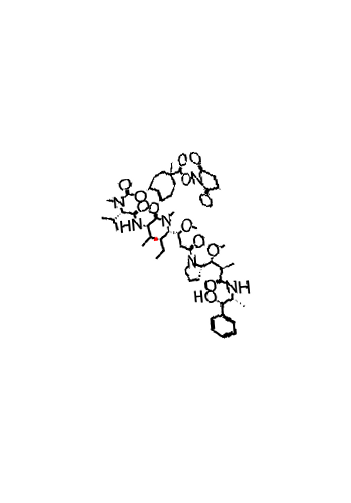 CC[C@H](C)[C@@H](C(CC(=O)N1CCC[C@H]1[C@H](OC)[C@@H](C)C(=O)N[C@H](C)[C@@H](O)c1ccccc1)OC)N(C)C(=O)[C@@H](NC(=O)[C@H](C(C)C)N(C)C(=O)O[C@H]1/C=C/CC[C@@](C)(C(=O)ON2C(=O)CCC2=O)CC1)C(C)C